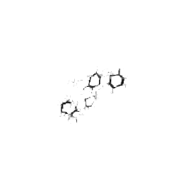 Cc1ccccc1Oc1ccc(CO)c(N2CCC(Oc3ncccc3Cl)C2)c1